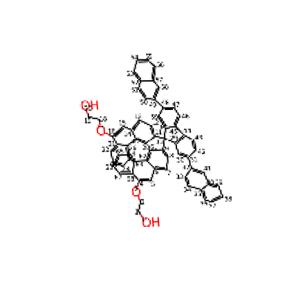 OCCOc1cc2ccc(C3(c4ccc5cc(OCCO)c6ccccc6c5c4)c4cc(-c5ccc6ccccc6c5)ccc4-c4ccc(-c5ccc6ccccc6c5)cc43)cc2c2ccccc12